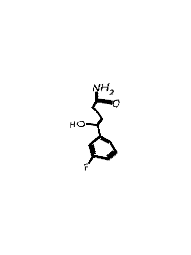 NC(=O)CCC(O)c1cccc(F)c1